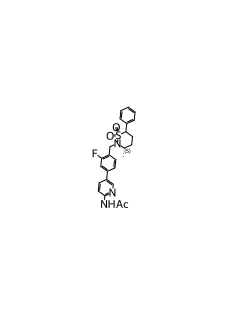 CC(=O)Nc1ccc(-c2ccc(CN3[C@@H](C)CCC(c4ccccc4)S3(=O)=O)c(F)c2)cn1